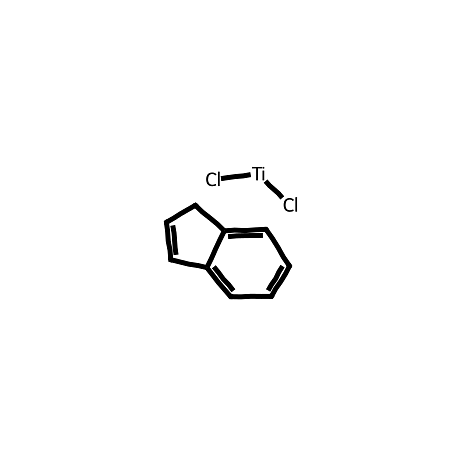 C1=Cc2ccccc2C1.[Cl][Ti][Cl]